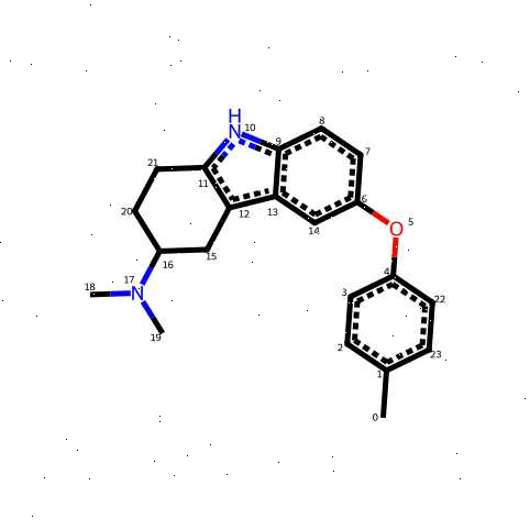 Cc1ccc(Oc2ccc3[nH]c4c(c3c2)CC(N(C)C)CC4)cc1